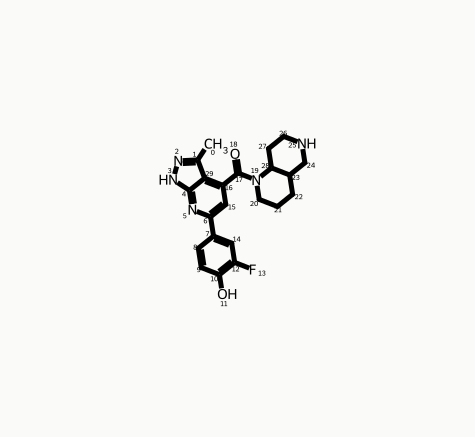 Cc1n[nH]c2nc(-c3ccc(O)c(F)c3)cc(C(=O)N3CCCC4CNCCC43)c12